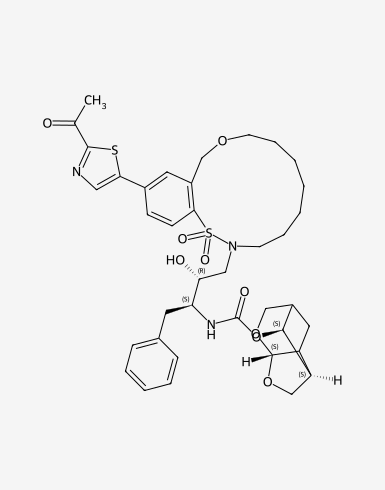 CC(=O)c1ncc(-c2ccc3c(c2)COCCCCCCCN(C[C@@H](O)[C@H](Cc2ccccc2)NC(=O)O[C@H]2C4CO[C@H]5OC[C@@H]2C5C4)S3(=O)=O)s1